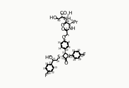 CC(C)[C@@H](NC(=O)COc1ccc([C@@H]2[C@@H](SCC(O)c3ccc(F)cc3)C(=O)N2c2ccc(F)cc2)cc1)C(=O)N[C@H](CO)C(=O)O